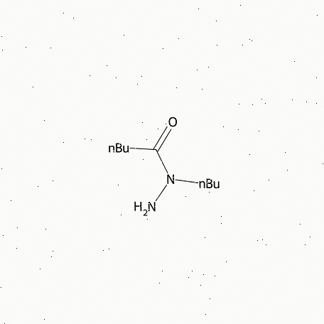 [CH2]CCCC(=O)N(N)CCCC